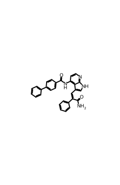 NC(=O)C(=Cc1c[nH]c2nccc(NC(=O)c3ccc(-c4ccccc4)cc3)c12)c1ccccc1